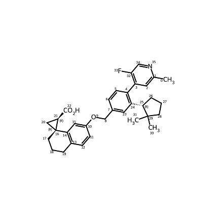 Cc1cc(-c2ccc(COc3ccc4c(c3)[C@]3(CCC4)C[C@H]3C(=O)O)cc2[C@@H]2CCCC2(C)C)c(F)cn1